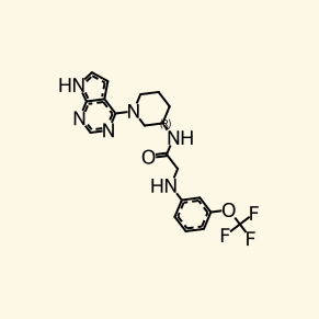 O=C(CNc1cccc(OC(F)(F)F)c1)N[C@@H]1CCCN(c2ncnc3[nH]ccc23)C1